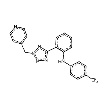 FC(F)(F)c1ccc(Nc2ccccc2-c2nnn(Cc3ccncc3)n2)cc1